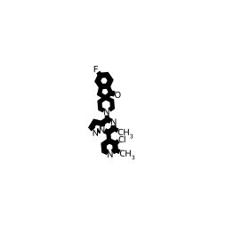 Cc1nccc(-c2c(C)nc(N3CCC4(CC3)Cc3cc(F)ccc3C4=O)c3ccnn23)c1Cl